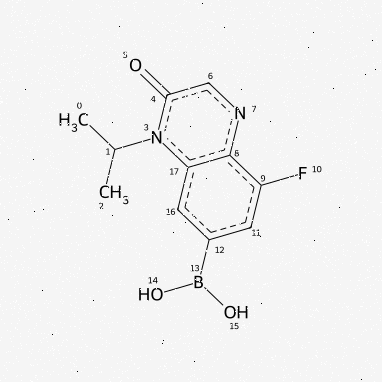 CC(C)n1c(=O)cnc2c(F)cc(B(O)O)cc21